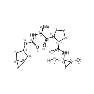 CC[C@@H]1C[C@]1(NC(=O)[C@@H]1CCCN1C(=O)[C@@H](NC(=O)OC1CC2CC2C1)C(C)(C)C)C(=O)O